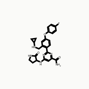 NC(=O)c1cc(NC2CCNC2=O)nc(-c2ccc(Oc3ccc(F)cc3)cc2CNC2CC2)n1